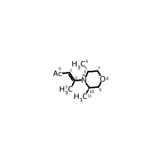 CC(=O)/C=C(\C)N1[C@H](C)COC[C@H]1C